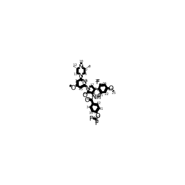 COc1cc(N2C[C@@H](C)N(C)[C@@H](C)C2)nc(N2C[C@@H](c3c(F)cc(OC)cc3F)C(NC(=O)c3ccc(OC(F)F)cc3)C2=O)c1